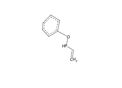 C=CPOc1ccccc1